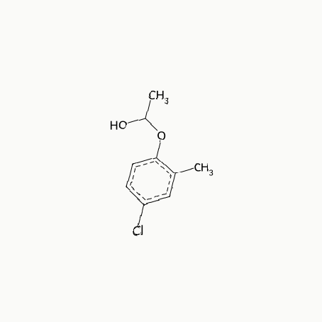 Cc1cc(Cl)ccc1OC(C)O